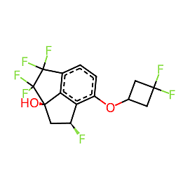 O[C@]12C[C@H](F)c3c(OC4CC(F)(F)C4)ccc(c31)C(F)(F)C2(F)F